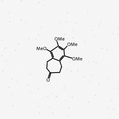 COc1c2c(c(OC)c(OC)c1OC)CCC(=O)CC2